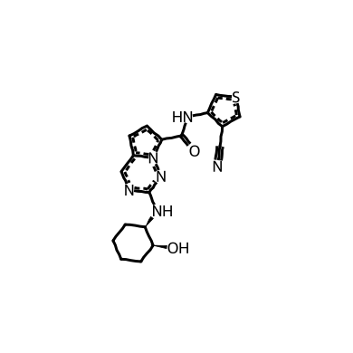 N#Cc1cscc1NC(=O)c1ccc2cnc(N[C@@H]3CCCC[C@@H]3O)nn12